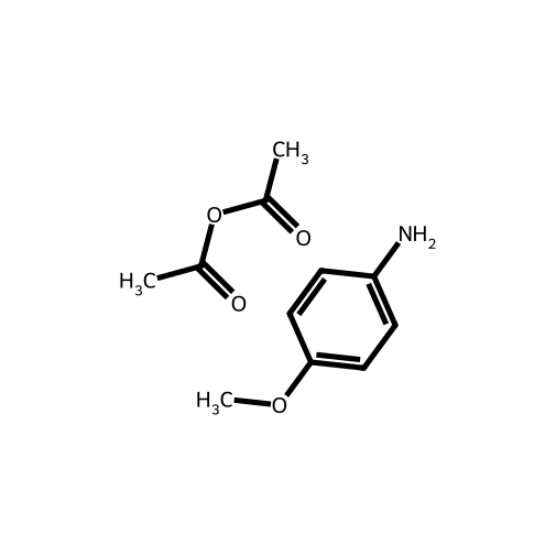 CC(=O)OC(C)=O.COc1ccc(N)cc1